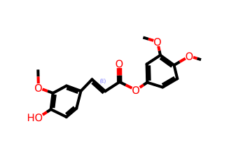 COc1cc(/C=C/C(=O)Oc2ccc(OC)c(OC)c2)ccc1O